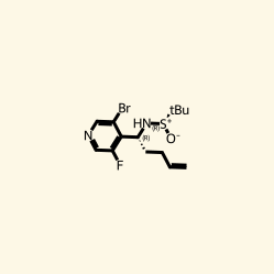 C=CCC[C@@H](N[S@@+]([O-])C(C)(C)C)c1c(F)cncc1Br